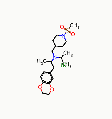 CC(C)N(CC1CCN(S(C)(=O)=O)CC1)C(C)Cc1ccc2c(c1)OCCO2.Cl